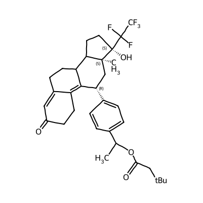 CC(OC(=O)CC(C)(C)C)c1ccc([C@H]2C[C@@]3(C)C(CC[C@@]3(O)C(F)(F)C(F)(F)F)C3CCC4=CC(=O)CCC4=C32)cc1